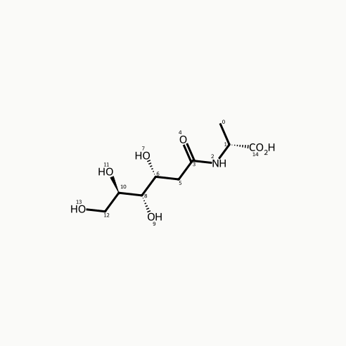 C[C@@H](NC(=O)C[C@@H](O)[C@H](O)[C@H](O)CO)C(=O)O